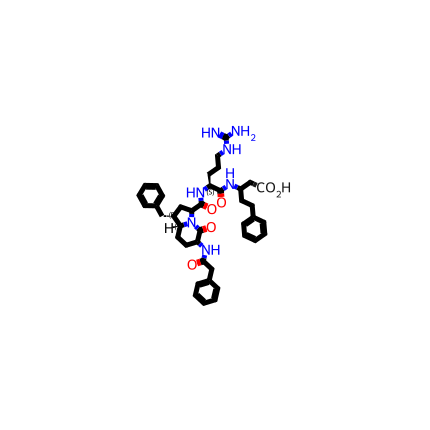 N=C(N)NCCC[C@H](NC(=O)C1C[C@@H](Cc2ccccc2)[C@@H]2CCC(NC(=O)Cc3ccccc3)C(=O)N12)C(=O)NC(CCc1ccccc1)CC(=O)O